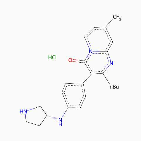 CCCCc1nc2cc(C(F)(F)F)ccn2c(=O)c1-c1ccc(N[C@@H]2CCNC2)cc1.Cl